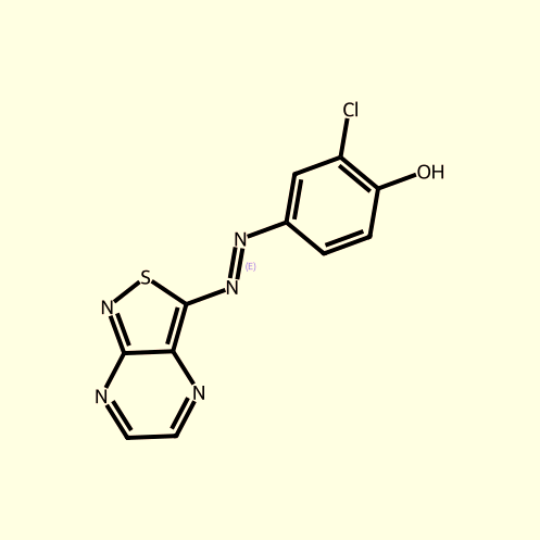 Oc1ccc(/N=N/c2snc3nccnc23)cc1Cl